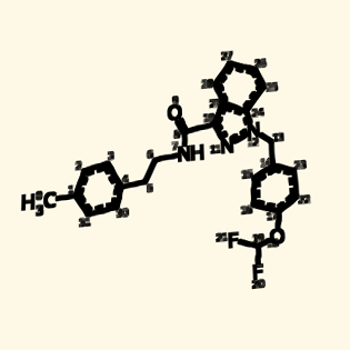 Cc1ccc(CCNC(=O)c2nn(Cc3ccc(OC(F)F)cc3)c3ccccc23)cc1